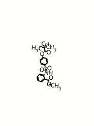 COC(=O)c1ccccc1NS(=O)(=O)c1ccc(OC(=O)C(C)(C)C)cc1